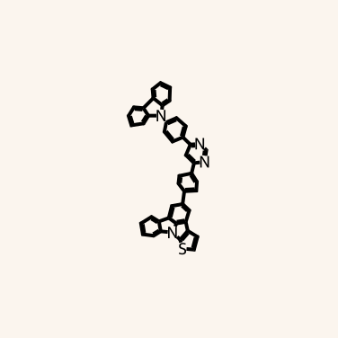 c1ccc2c(c1)c1ccccc1n2-c1ccc(-c2cc(-c3ccc(-c4cc5c6ccccc6n6c7sccc7c(c4)c56)cc3)ncn2)cc1